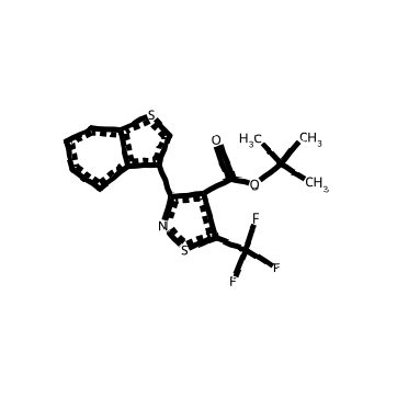 CC(C)(C)OC(=O)c1c(-c2csc3ccccc23)nsc1C(F)(F)F